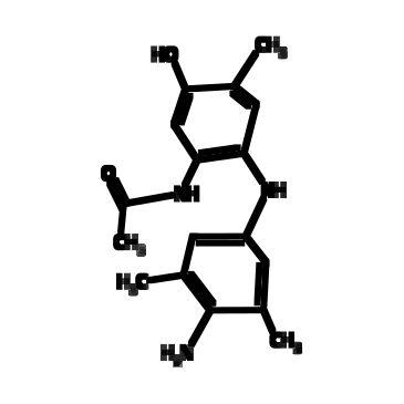 CC(=O)Nc1cc(O)c(C)cc1Nc1cc(C)c(N)c(C)c1